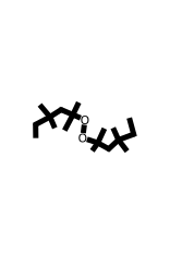 CCC(C)(C)CC(C)(C)OOC(C)(C)CC(C)(C)CC